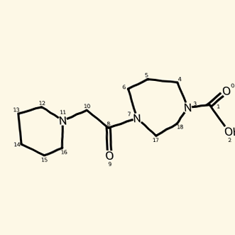 O=C(O)N1CCCN(C(=O)CN2CCCCC2)CC1